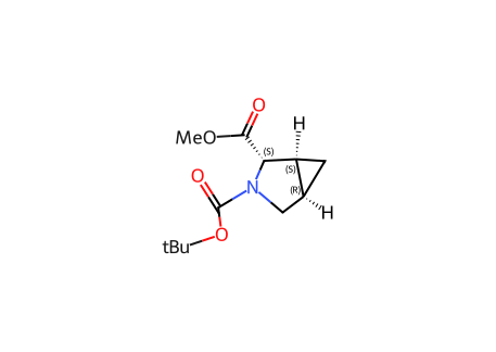 COC(=O)[C@@H]1[C@H]2C[C@H]2CN1C(=O)OC(C)(C)C